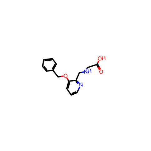 O=C(O)CNCc1ncccc1OCc1ccccc1